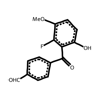 COc1ccc(O)c(C(=O)c2ccc([C]=O)cc2)c1F